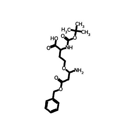 CC(C)(C)OC(=O)NC(CCOC(N)CC(=O)OCc1ccccc1)C(=O)O